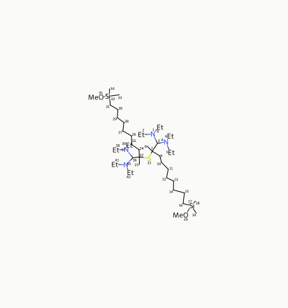 CCN(CC)C(N(CC)CC)C(C)(CCCCCCCC[Si](C)(C)OC)SC(C)(CCCCCCCC[Si](C)(C)OC)C(N(CC)CC)N(CC)CC